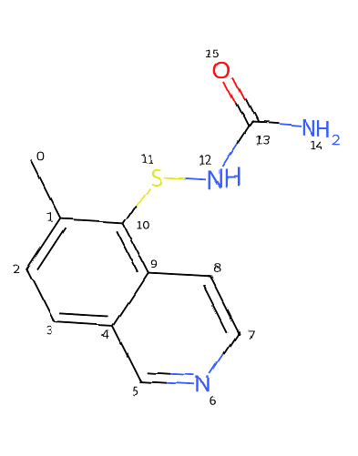 Cc1ccc2cnccc2c1SNC(N)=O